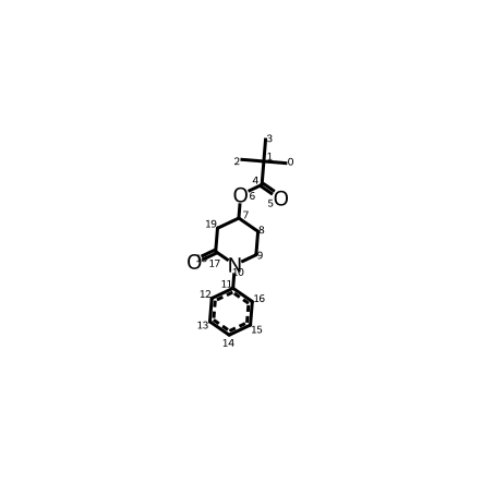 CC(C)(C)C(=O)OC1CCN(c2ccccc2)C(=O)C1